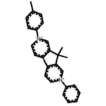 Cc1ccc(-[n+]2ccc3c(c2)C(C)(C)c2c[n+](-c4ccccc4)ccc2-3)cc1